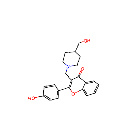 O=c1c(CN2CCC(CO)CC2)c(-c2ccc(O)cc2)oc2ccccc12